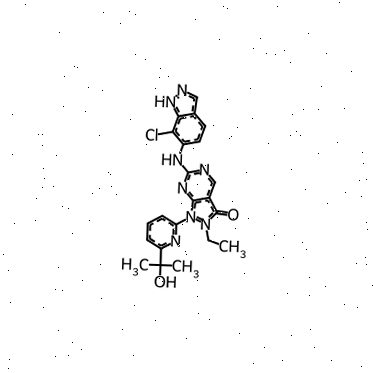 CCn1c(=O)c2cnc(Nc3ccc4cn[nH]c4c3Cl)nc2n1-c1cccc(C(C)(C)O)n1